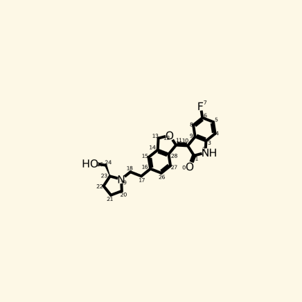 O=C1Nc2ccc(F)cc2/C1=C1\OCc2cc(CCN3CCC[C@H]3CO)ccc21